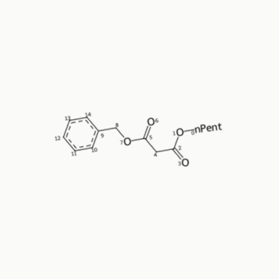 CCCCCOC(=O)CC(=O)OCc1ccccc1